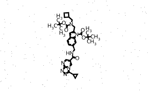 CC(C)(C)OC(=O)N(Cc1cc2ccc(CNC(=O)c3cnc4nnc(C5CC5)n4c3)cc2n1C(=O)OC(C)(C)C)CC1CCC1